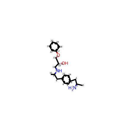 CC(N)Cc1ccc(CC(C)NC[C@@H](O)COc2ccccc2)cc1